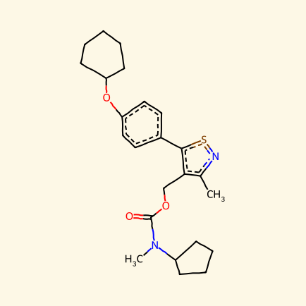 Cc1nsc(-c2ccc(OC3CCCCC3)cc2)c1COC(=O)N(C)C1CCCC1